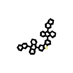 C1=Cc2c(c(-c3ccc4ccccc4c3)c3ccccc3c2-c2ccc3sc4ccc(-c5c6c(c(-c7ccc8ccccc8c7)c7ccccc57)CCC=C6)cc4c3c2)CC1